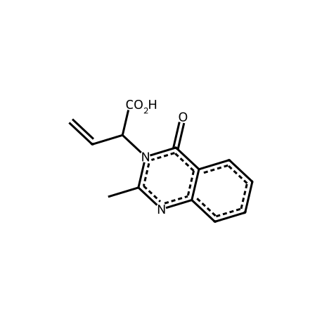 C=CC(C(=O)O)n1c(C)nc2ccccc2c1=O